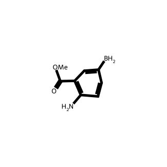 Bc1ccc(N)c(C(=O)OC)c1